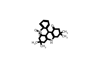 CC1(C)CC(=O)C2=C(C1)NC1=C(C(=O)CC(C)(C)C1)C2c1ccccc1[N+](=O)[O-]